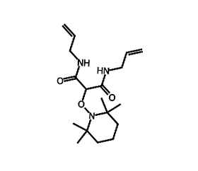 C=CCNC(=O)C(ON1C(C)(C)CCCC1(C)C)C(=O)NCC=C